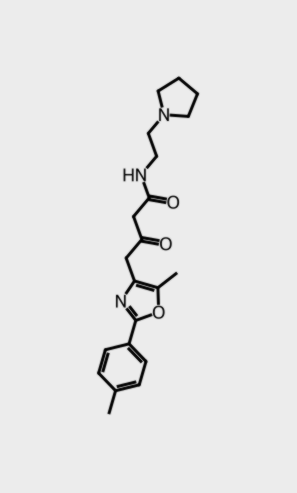 Cc1ccc(-c2nc(CC(=O)CC(=O)NCCN3CCCC3)c(C)o2)cc1